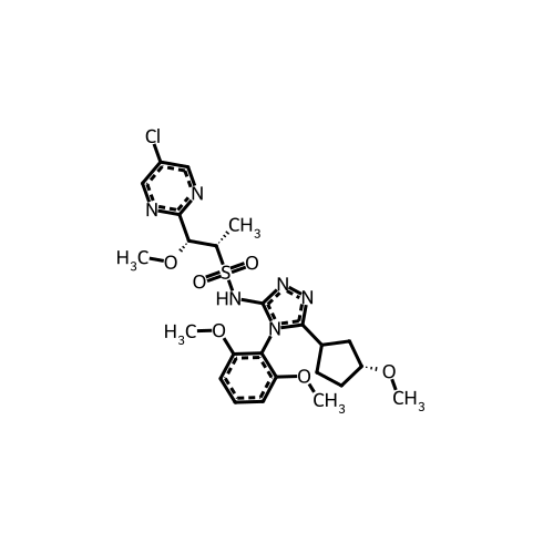 COc1cccc(OC)c1-n1c(NS(=O)(=O)[C@@H](C)[C@H](OC)c2ncc(Cl)cn2)nnc1C1CC[C@@H](OC)C1